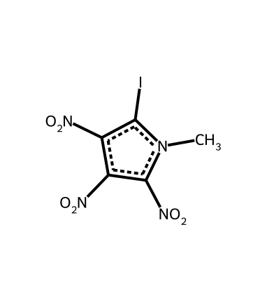 Cn1c(I)c([N+](=O)[O-])c([N+](=O)[O-])c1[N+](=O)[O-]